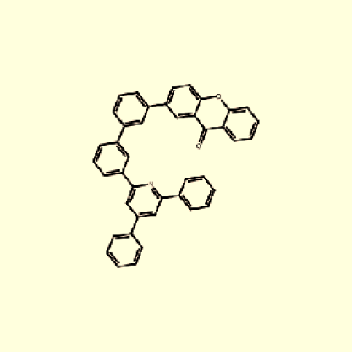 O=c1c2ccccc2oc2ccc(-c3cccc(-c4cccc(-c5cc(-c6ccccc6)cc(-c6ccccc6)n5)c4)c3)cc12